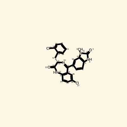 Cn1c(=O)[nH]c2ccc(C3=N[C@@H](Cc4ccccc4Cl)C(=O)Nc4ccc(Cl)cc43)cc21